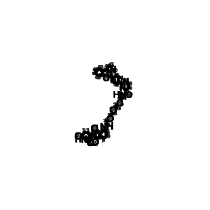 O=C1CCC(N2C(=O)c3cccc(NCCOCCOCCOCCNC(=O)c4ccnc(N5CCC(C(=O)N6N=CCC6c6ccccc6)CC5)n4)c3C2=O)C(=O)N1